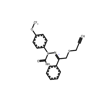 C#CCSC/C(=N/N(C(N)=O)c1ccc(OC(F)(F)F)cc1)c1ccccc1